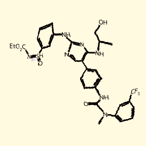 CCOC(=O)/N=[SH](=O)\c1cccc(Nc2ncc(-c3ccc(NC(=O)N(C)c4cccc(C(F)(F)F)c4)cc3)c(NC(C)CO)n2)c1